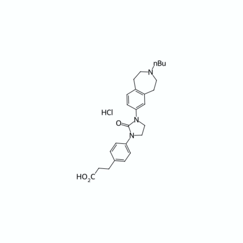 CCCCN1CCc2ccc(N3CCN(c4ccc(CCC(=O)O)cc4)C3=O)cc2CC1.Cl